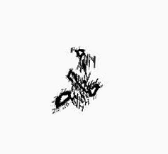 Fc1ccc2[nH]c(N=C3NC4(c5ccccn5)NC(=Nc5nc6ccccc6[nH]5)NC4(c4ccccn4)N3)nc2c1